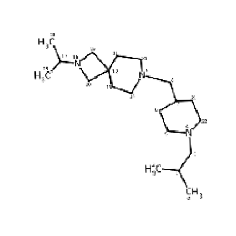 CC(C)CN1CCC(CN2CCC3(CC2)CN(C(C)C)C3)CC1